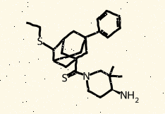 CCSC1C2CC3(C(=S)N4CC[C@H](N)C(C)(C)C4)CC1CC(c1ccccc1)(C2)C3